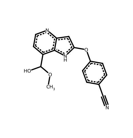 COC(O)c1ccnc2cc(Oc3ccc(C#N)cc3)[nH]c12